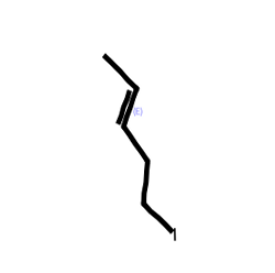 C/C=C/CCI